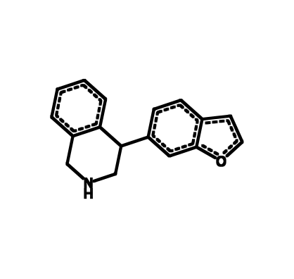 c1ccc2c(c1)CNCC2c1ccc2ccoc2c1